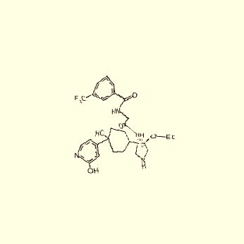 CCO[C@H]1CNC[C@@]1(NC(=O)CNC(=O)c1cccc(C(F)(F)F)c1)C1CCC(O)(c2ccnc(O)c2)CC1